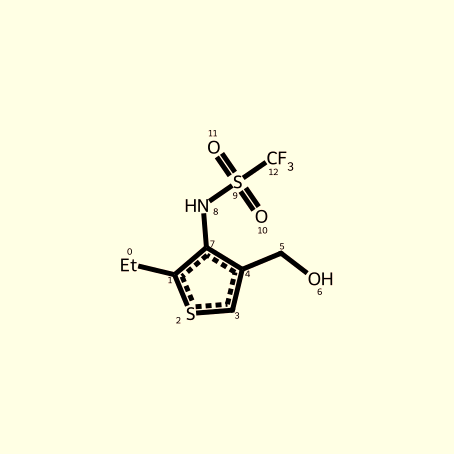 CCc1scc(CO)c1NS(=O)(=O)C(F)(F)F